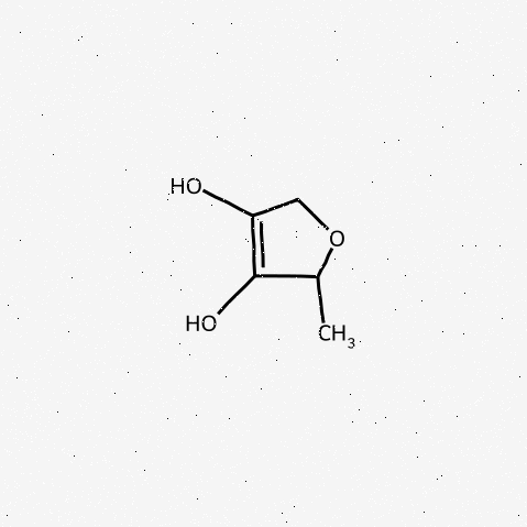 CC1OCC(O)=C1O